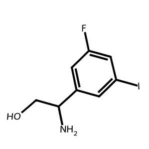 NC(CO)c1cc(F)cc(I)c1